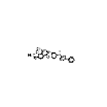 COc1ccc2c(Oc3ccc(Nc4nc(-c5ccccc5)cs4)cc3F)ccnc2c1OC